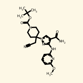 COc1cccc(Nc2nn(C3(CC#N)CCN(C(=O)OC(C)(C)C)CC3)cc2C(N)=O)n1